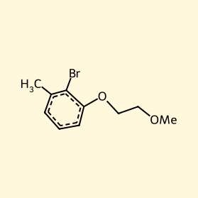 COCCOc1cccc(C)c1Br